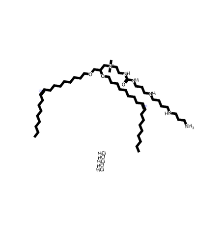 CCCCCCCC/C=C\CCCCCCCCOCC(C[N+](C)(C)CCNC(=O)NCCCNCCCCNCCCN)OCCCCCCCC/C=C\CCCCCCCC.Cl.Cl.Cl.Cl.Cl